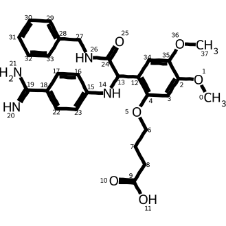 COc1cc(OCCCC(=O)O)c(C(Nc2ccc(C(=N)N)cc2)C(=O)NCc2ccccc2)cc1OC